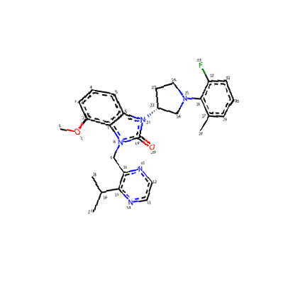 COc1cccc2c1n(Cc1nccnc1C(C)C)c(=O)n2[C@@H]1CCN(c2c(C)cccc2F)C1